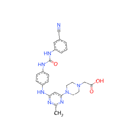 Cc1nc(Nc2ccc(NC(=O)Nc3cccc(C#N)c3)cc2)cc(N2CCN(CC(=O)O)CC2)n1